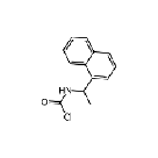 CC(NC(=O)Cl)c1cccc2ccccc12